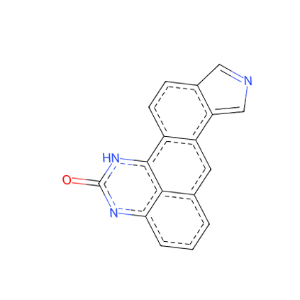 O=c1nc2cccc3cc4c5c(ccc4c([nH]1)c32)C=NC=5